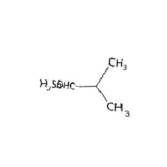 CC(C)C=O.[SnH2]